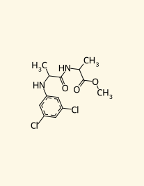 COC(=O)C(C)NC(=O)C(C)Nc1cc(Cl)cc(Cl)c1